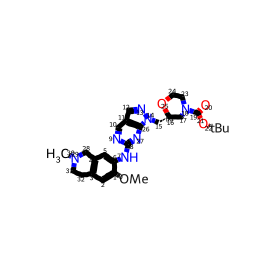 COc1cc2c(cc1Nc1ncc3cnn(C[C@H]4CN(C(=O)OC(C)(C)C)CCO4)c3n1)CN(C)CC2